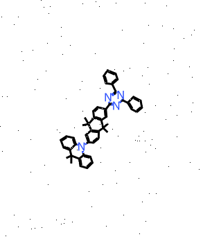 CC1(C)c2ccccc2N(c2ccc3c(c2)C(C)(C)c2ccc(-c4nc(-c5ccccc5)nc(-c5ccccc5)n4)cc2C3(C)C)c2ccccc21